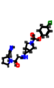 N#C[C@@H]1CCCN1C(=O)CNC1C2CN(C(=O)Oc3ccc(Cl)cc3)CC21